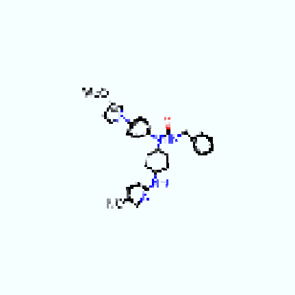 CO[C@H]1CCN(c2ccc(N(C(=O)NCc3ccccc3)C3CCC(Nc4ccc(C#N)cn4)CC3)cc2)C1